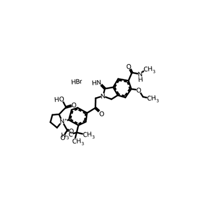 Br.CCOc1cc2c(cc1C(=O)NC)C(=N)N(CC(=O)c1ccc([N+]3(C(=O)[O-])CCCC3C(=O)O)c(C(C)(C)C)c1)C2